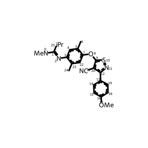 CNC(=Nc1cc(C)c(Oc2snc(-c3ccc(OC)cc3)c2C#N)cc1C)C(C)C